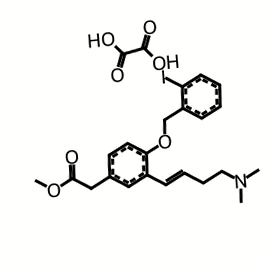 COC(=O)Cc1ccc(OCc2ccccc2I)c(/C=C/CCN(C)C)c1.O=C(O)C(=O)O